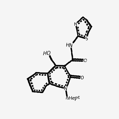 CCCCCCCn1c(=O)c(C(=O)Nc2nccs2)c(O)c2ccccc21